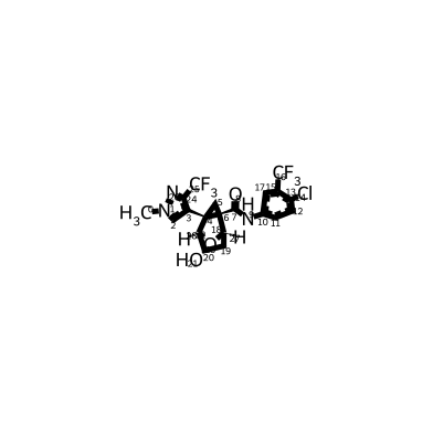 Cn1cc([C@@]23C[C@]2(C(=O)Nc2ccc(Cl)c(C(F)(F)F)c2)[C@H]2C[C@H](O)[C@@H]3O2)c(C(F)(F)F)n1